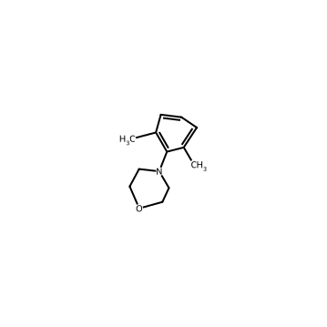 Cc1cccc(C)c1N1CCOCC1